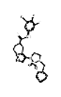 O=C(Nc1cc(F)c(F)c(F)c1)C1CCn2ncc(N3CCN(Cc4ccccc4)S3(=O)=O)c2C1